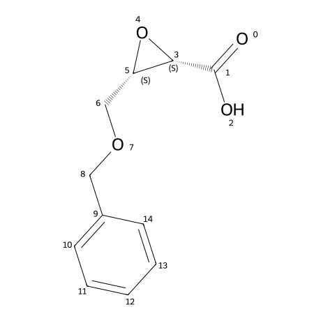 O=C(O)[C@H]1O[C@H]1COCc1ccccc1